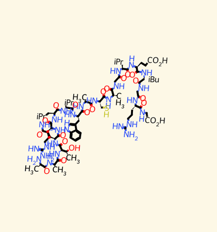 CC[C@H](C)[C@H](NC(=O)[C@H](CCC(=O)O)NC(=O)[C@@H](NC(=O)CNC(=O)[C@H](C)NC(=O)[C@H](CS)NC(=O)[C@H](C)NC(=O)[C@H](Cc1c[nH]c2ccccc12)NC(=O)[C@@H](NC(=O)[C@H](CC(C)C)NC(=O)[C@H](CCCNC(=N)N)NC(=O)[C@H](CCC(N)=O)NC(=O)[C@@H](NC(=O)[C@H](C)NC(=O)[C@H](C)N)[C@@H](C)O)C(C)C)C(C)C)C(=O)NCC(=O)N[C@@H](CCCNC(=N)N)C(=O)NCC(=O)O